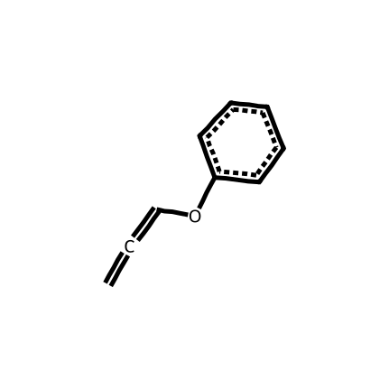 C=C=COc1ccccc1